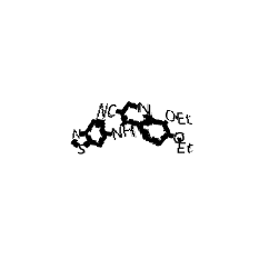 CCOc1ccc2c(Nc3ccc4ncsc4c3)c(C#N)cnc2c1OCC